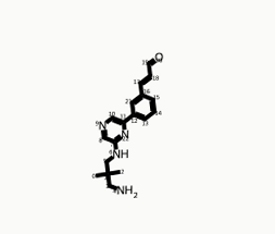 CC(C)(CN)CNc1cncc(-c2cccc(/C=C/[C]=O)c2)n1